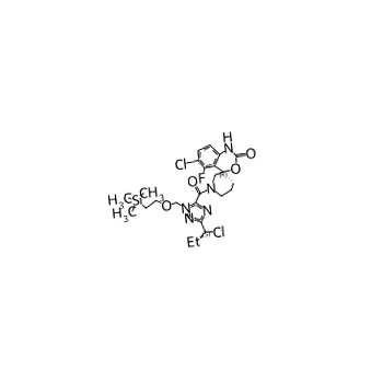 CC[C@H](Cl)c1nc(C(=O)N2CCC[C@@]3(C2)OC(=O)Nc2ccc(Cl)c(F)c23)n(COCC[Si](C)(C)C)n1